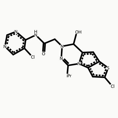 CC(C)C1=NN(CC(=O)Nc2ncncc2Cl)C(O)c2cc3sc(Cl)cc3n21